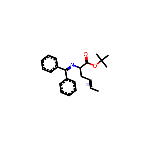 C/C=C/CC(N=C(c1ccccc1)c1ccccc1)C(=O)OC(C)(C)C